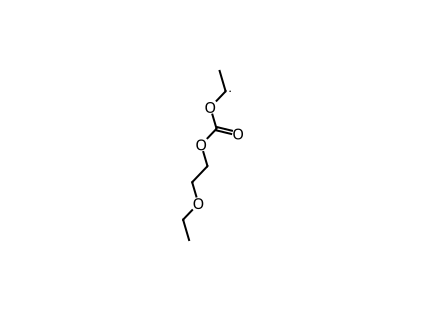 C[CH]OC(=O)OCCOCC